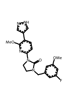 COc1cc(F)cc(CN2CCN(c3ccc(-c4cn[nH]c4)c(OC)n3)C2=O)c1